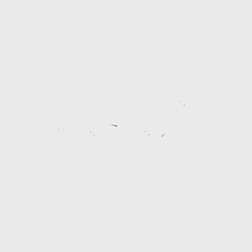 CC(CNC[C@@H]1CCNC1=O)C[C@@H](NC(=O)O)C(C)O